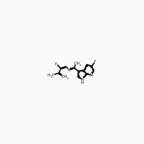 C=C(C)/C(F)=C\N=C(/C)c1c[nH]c2ncc(F)cc12